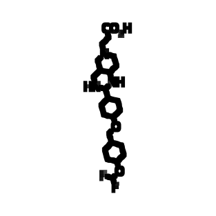 O=C(O)CCN1CCC2NC(C3CCC(OCC4CCC(OC(F)F)CC4)CC3)NCC2C1